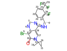 C[C@H](Nc1ncnc2c(Br)c(=O)n(C3(C)CC3)cc12)c1cccc(C(C)(F)F)c1F